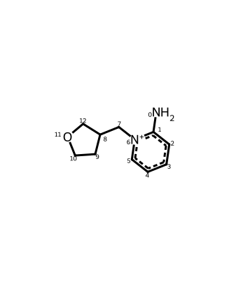 Nc1cccc[n+]1CC1CCOC1